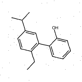 CCc1ccc(C(C)C)cc1-c1ccccc1O